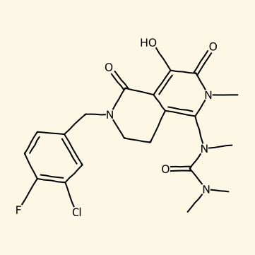 CN(C)C(=O)N(C)c1c2c(c(O)c(=O)n1C)C(=O)N(Cc1ccc(F)c(Cl)c1)CC2